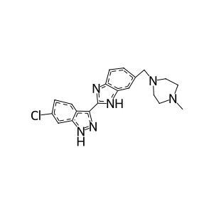 CN1CCN(Cc2ccc3nc(-c4n[nH]c5cc(Cl)ccc45)[nH]c3c2)CC1